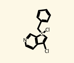 ClC1=CS(Cl)(Cc2ccccc2)c2cnccc21